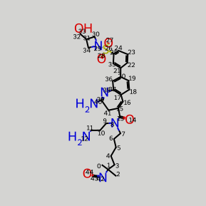 CC(C)(CCCCCN(CCCN)C(=O)C1=Cc2ccc(-c3cccc(S(=O)(=O)N4CC(CO)C4)c3)cc2N=C(N)C1)N=C=O